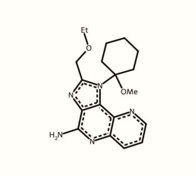 CCOCc1nc2c(N)nc3cccnc3c2n1C1(OC)CCCCC1